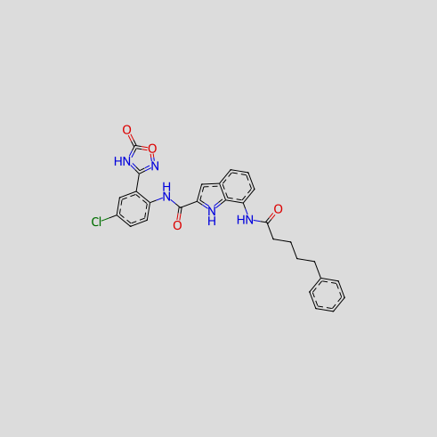 O=C(CCCCc1ccccc1)Nc1cccc2cc(C(=O)Nc3ccc(Cl)cc3-c3noc(=O)[nH]3)[nH]c12